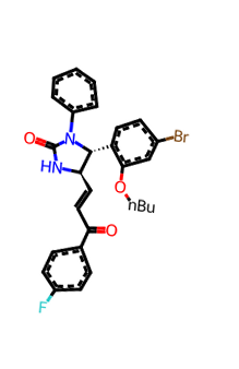 CCCCOc1cc(Br)ccc1[C@@H]1[C@@H](/C=C/C(=O)c2ccc(F)cc2)NC(=O)N1c1ccccc1